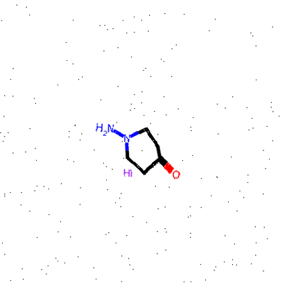 I.NN1CCC(=O)CC1